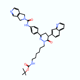 CC(C)(C)OC(=O)NCCCCCCN1N=C(c2ccc(NC(=O)N3Cc4ccncc4C3)cc2)CC(c2ccc3cccnc3c2)C1=O